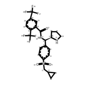 O=C(NC(c1ccc(S(=O)(=O)CC2CC2)cc1)[C@H]1CCCN1)c1cc(C(F)(F)F)ccc1C(F)(F)F